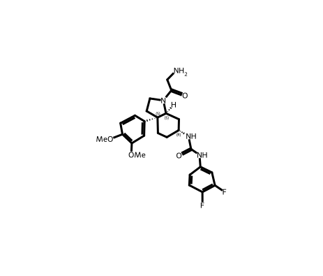 COc1ccc([C@@]23CC[C@@H](NC(=O)Nc4ccc(F)c(F)c4)C[C@@H]2N(C(=O)CN)CC3)cc1OC